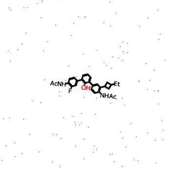 CCC1CC(c2cc(-c3cccc(-c4ccc(NC(C)=O)c(F)c4)c3O)ccc2NC(C)=O)C1